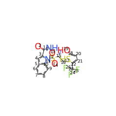 NC(=O)c1cc2ccccc2n1S(=O)(=O)CC[SH]1C(O)=CC=C1C(F)(F)F